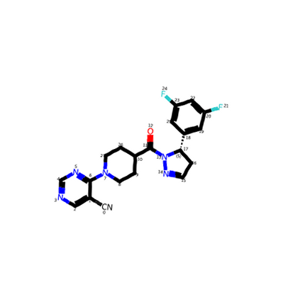 N#Cc1cncnc1N1CCC(C(=O)N2N=CC[C@H]2c2cc(F)cc(F)c2)CC1